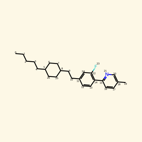 CCCCCC1CCC(CCc2ccc(-c3ccc(C)cn3)c(F)c2)CC1